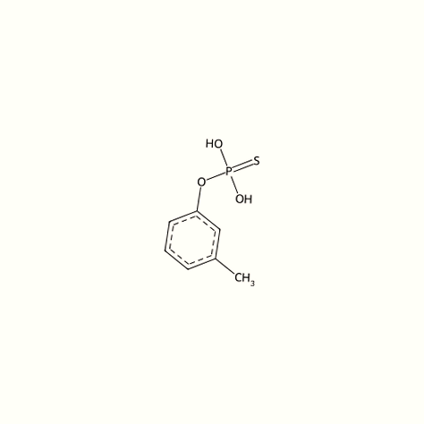 Cc1cccc(OP(O)(O)=S)c1